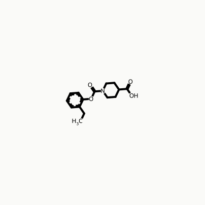 CCc1ccccc1OC(=O)N1CCC(C(=O)O)CC1